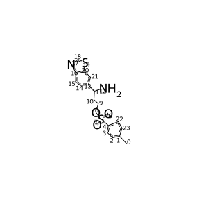 Cc1ccc(S(=O)(=O)OCCC(N)c2ccc3ncsc3c2)cc1